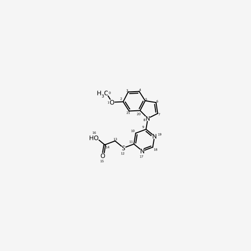 COc1ccc2ccn(-c3cc(SCC(=O)O)ncn3)c2c1